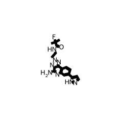 CC(C)(F)C(=O)NCCn1nc2c(N)nc3cc(-c4ccn[nH]4)ccc3c2n1